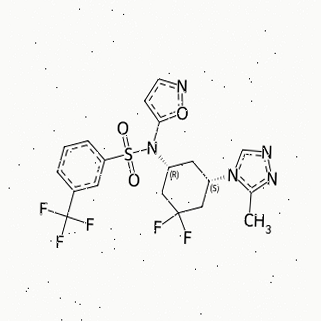 Cc1nncn1[C@H]1C[C@@H](N(c2ccno2)S(=O)(=O)c2cccc(C(F)(F)F)c2)CC(F)(F)C1